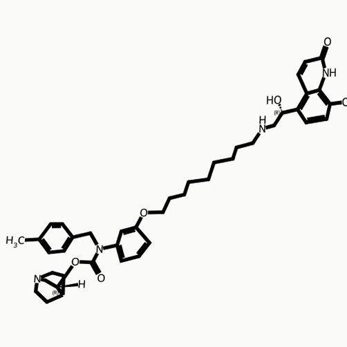 Cc1ccc(CN(C(=O)O[C@H]2CN3CCC2CC3)c2cccc(OCCCCCCCCCNC[C@H](O)c3ccc(O)c4[nH]c(=O)ccc34)c2)cc1